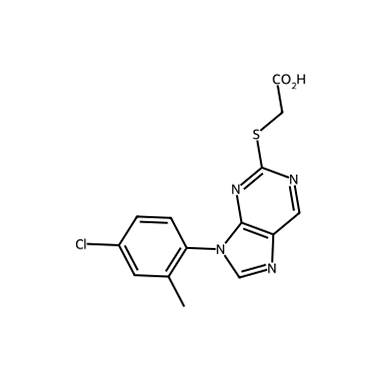 Cc1cc(Cl)ccc1-n1cnc2cnc(SCC(=O)O)nc21